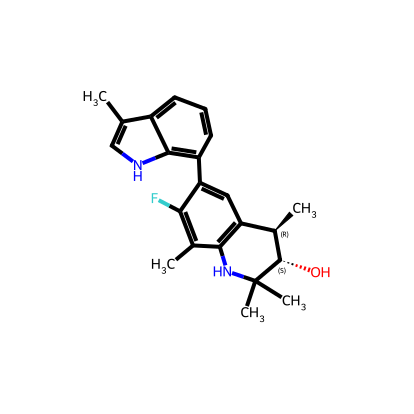 Cc1c(F)c(-c2cccc3c(C)c[nH]c23)cc2c1NC(C)(C)[C@@H](O)[C@@H]2C